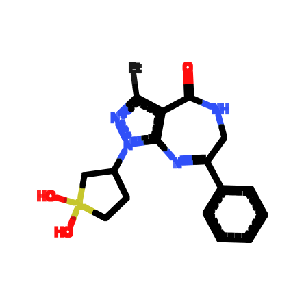 CCc1nn(C2CCS(O)(O)C2)c2c1C(=O)NCC(c1ccccc1)=N2